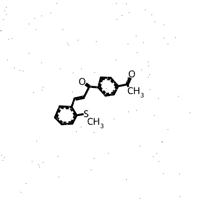 CSc1ccccc1C=CC(=O)c1ccc(C(C)=O)cc1